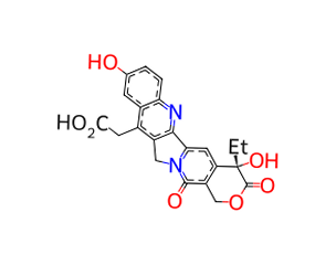 CC[C@@]1(O)C(=O)OCc2c1cc1n(c2=O)Cc2c-1nc1ccc(O)cc1c2CC(=O)O